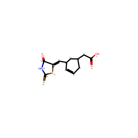 O=C(O)CC1CC=CC(/C=C2\SC(=S)NC2=O)C1